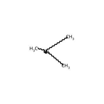 CCCCCCCCCCCCCCCCCC1N(CCCCCC)C=CN1CCCCCCCCCCCCCC